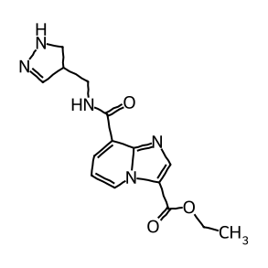 CCOC(=O)c1cnc2c(C(=O)NCC3C=NNC3)cccn12